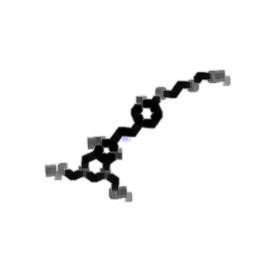 CCOCCOc1ccc(/C=C/c2nc3c([nH]2)CN(CC)CN3CC)cn1